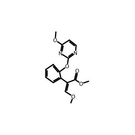 COC=C(C(=O)OC)c1ccccc1Oc1nccc(OC)n1